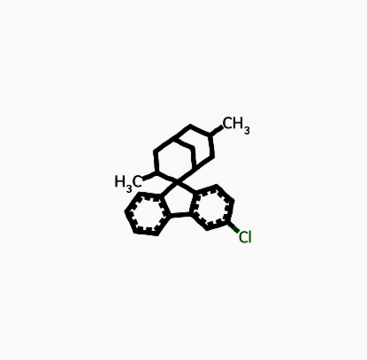 CC1CC2CC(C)C3(c4ccccc4-c4cc(Cl)ccc43)C(C1)C2